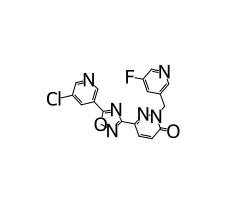 O=c1ccc(-c2noc(-c3cncc(Cl)c3)n2)nn1Cc1cncc(F)c1